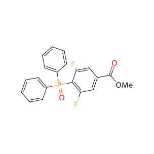 COC(=O)c1cc(F)c(P(=O)(c2ccccc2)c2ccccc2)c(F)c1